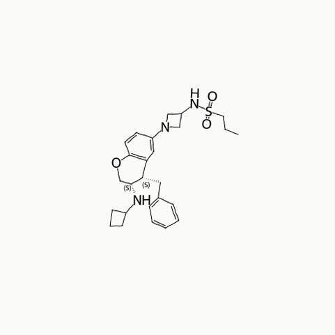 CCCS(=O)(=O)NC1CN(c2ccc3c(c2)[C@H](Cc2ccccc2)[C@H](NC2CCC2)CO3)C1